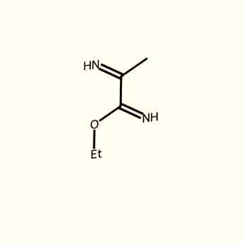 CCOC(=N)C(C)=N